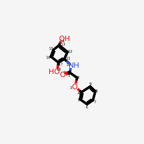 O=C(COc1ccccc1)Nc1cc(O)ccc1O